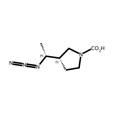 C[C@@H](N=[N+]=[N-])[C@H]1CCN(C(=O)O)C1